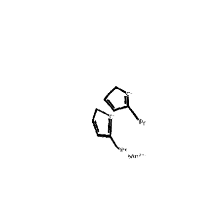 CC(C)C1=[C-]CC=C1.CC(C)C1=[C-]CC=C1.[Mn+2]